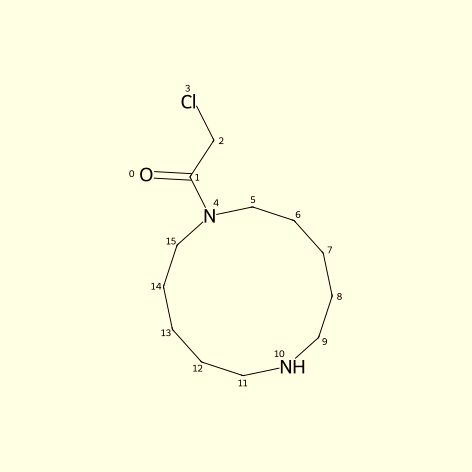 O=C(CCl)N1CCCCCNCCCCC1